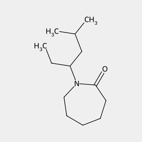 CCC(CC(C)C)N1CCCCCC1=O